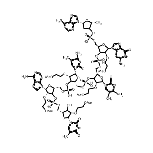 COCCO[C@H]1C(O)[C@@H](COP(=O)(S)OC2[C@@H](COP(=O)(S)OC3[C@@H](COP(=O)(O)OC4[C@@H](COP(=O)(O)OC5[C@@H](COP(=O)(S)OC6C[C@H](n7cnc8c(N)ncnc87)O[C@@H]6C)O[C@@H](n6cnc7c(=O)[nH]c(N)nc76)[C@H]5OCCOC)O[C@@H](n5cc(C)c(N)nc5=O)[C@H]4OCCOC)O[C@@H](n4cc(C)c(N)nc4=O)[C@H]3OCCOC)O[C@@H](n3cnc4c(N)ncnc43)[C@H]2OCCOC)O[C@H]1n1cc(C)c(=O)[nH]c1=O